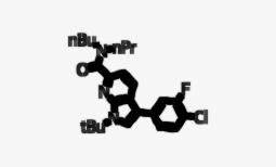 CCCCN(CCC)C(=O)c1ccc2c(-c3ccc(Cl)c(F)c3)cn(C(C)(C)C)c2n1